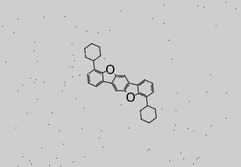 c1cc(C2CCCCC2)c2oc3cc4c(cc3c2c1)oc1c(C2CCCCC2)cccc14